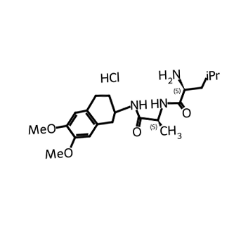 COc1cc2c(cc1OC)CC(NC(=O)[C@H](C)NC(=O)[C@@H](N)CC(C)C)CC2.Cl